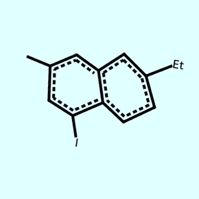 CCc1ccc2c(I)cc(C)cc2c1